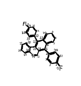 Fc1ccc(-c2c3ccccc3c(-c3ccc(F)cc3)c3c2cnc2ccccc23)cc1